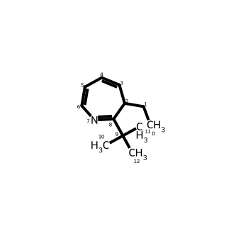 CCC1C=CC=CN=C1C(C)(C)C